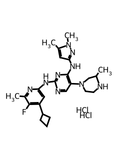 Cc1nc(Nc2ncc(N3CCNC(C)C3)c(Nc3cc(C)n(C)n3)n2)cc(C2CCC2)c1F.Cl.Cl